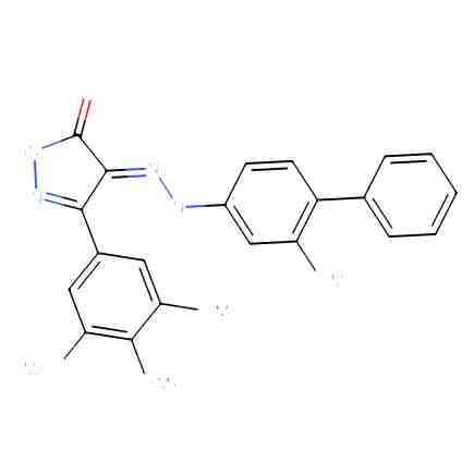 COc1cc(N/N=C2/C(=O)NN=C2c2cc(OC)c(OC)c(OC)c2)ccc1-c1ccccc1